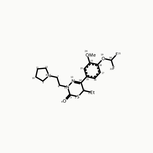 CCC1SC(=O)N(CCN2CCCC2)N=C1c1ccc(OC(F)F)c(OC)c1